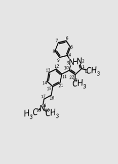 Cc1nn(-c2ccccc2)c(-c2cccc(CCN(C)C)c2)c1C